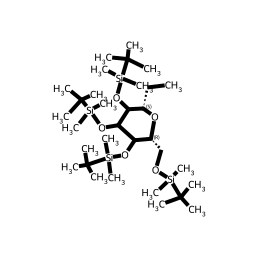 CC[C@@H]1O[C@H](CO[Si](C)(C)C(C)(C)C)C(O[Si](C)(C)C(C)(C)C)C(O[Si](C)(C)C(C)(C)C)C1O[Si](C)(C)C(C)(C)C